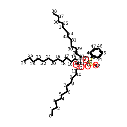 CCCCCCCCCCCC[O][Ti](=[O])([CH2]CCCCCCCCCCC)([CH2]CCCCCCCCCCC)[O]S(=O)(=O)c1ccccc1